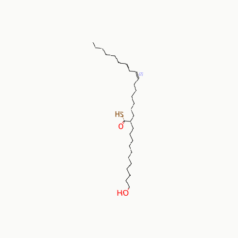 CCCCCCCC/C=C\CCCCCCC(CCCCCCCCCCCO)C(=O)S